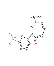 CC(=O)NC1=Cc2c3c(oc2=CC=C1)=CC=C(N(C)C)C3